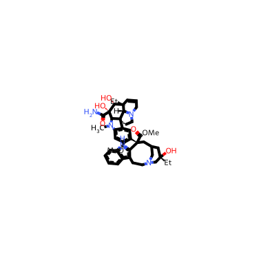 CC[C@]1(O)CC2CN(CCc3c([nH]c4ccccc34)[C@@](C(=O)OC)(c3cc4c(cc3OC)N(C)C3[C@]45CCN4CC=C[C@@](CC)([C@@H](O)[C@]3(O)C(N)=O)[C@H]45)C2)C1